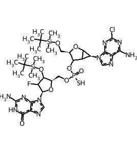 CC(C)(C)[Si](C)(C)OC[C@H]1OC2C(C1OP(=O)(S)OC[C@H]1O[C@@H](n3cnc4c(=O)[nH]c(N)nc43)C(F)C1O[Si](C)(C)C(C)(C)C)[C@@H]2n1cnc2c(N)nc(Cl)nc21